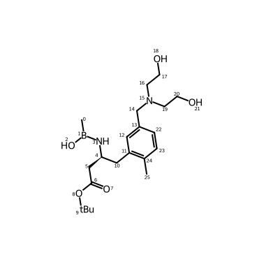 CB(O)N[C@H](CC(=O)OC(C)(C)C)Cc1cc(CN(CCO)CCO)ccc1C